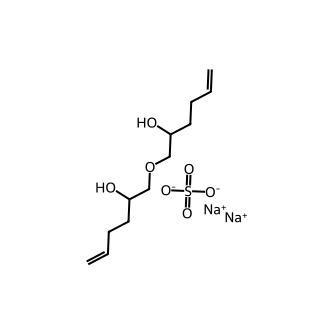 C=CCCC(O)COCC(O)CCC=C.O=S(=O)([O-])[O-].[Na+].[Na+]